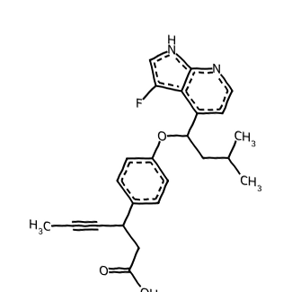 CC#CC(CC(=O)O)c1ccc(OC(CC(C)C)c2ccnc3[nH]cc(F)c23)cc1